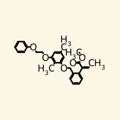 CC=C(C(=O)OC)c1ccccc1COc1cc(C)cc(OCCOc2ccccc2)c1C